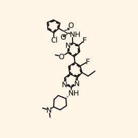 CCc1c(F)c(-c2cc(F)c(NS(=O)(=O)c3ccccc3Cl)nc2OC)cc2cnc(N[C@H]3CC[C@H](N(C)C)CC3)nc12